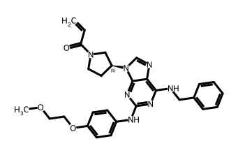 C=CC(=O)N1CC[C@H](n2cnc3c(NCc4ccccc4)nc(Nc4ccc(OCCOC)cc4)nc32)C1